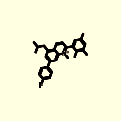 Cc1cc(C)c(C)c(-c2ccc3c(CC(C)C)cc(-c4ccc(F)cc4)cc3[n+]2C)c1